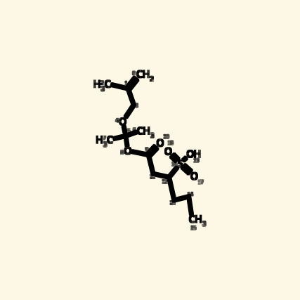 C=C(C)COC(C)(C)OC(=O)CC(CCC)S(=O)(=O)O